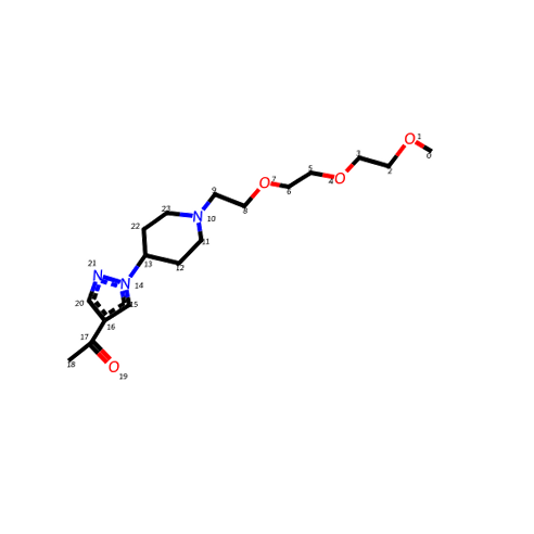 COCCOCCOCCN1CCC(n2cc(C(C)=O)cn2)CC1